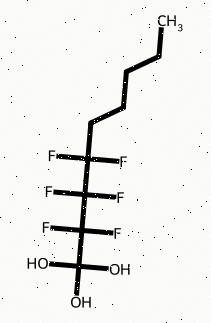 CCCCCC(F)(F)C(F)(F)C(F)(F)C(O)(O)O